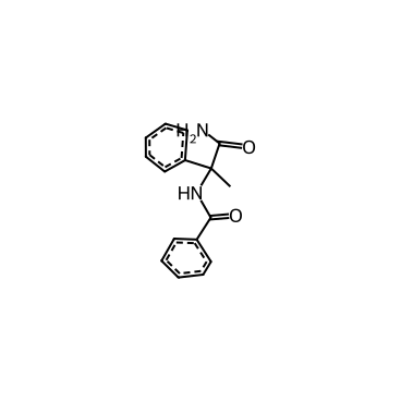 CC(NC(=O)c1ccccc1)(C(N)=O)c1ccccc1